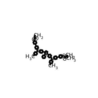 C=CC(=O)Oc1ccc(-c2ccc(N(c3ccc(C)cc3)c3ccc(-c4ccc(-c5ccc(N(c6ccc(C)cc6)c6ccc(-c7ccc(OC(=O)C(=C)C)cc7)cc6)cc5)n4-c4ccccc4)cc3)cc2)cc1